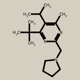 Cc1nc(CN2CCCC2)nc(C(C)(C)C)c1C(C)C